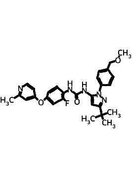 COCc1ccc(-n2nc(C(C)(C)C)cc2NC(=O)Nc2ccc(Oc3ccnc(C)c3)cc2F)cc1